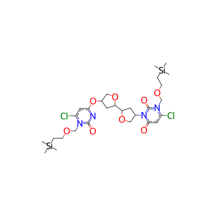 C[Si](C)(C)CCOCn1c(Cl)cc(OC2COC(C3CC(n4c(=O)cc(Cl)n(COCC[Si](C)(C)C)c4=O)CO3)C2)nc1=O